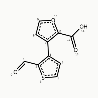 O=Cc1sccc1-c1ccoc1C(=O)O